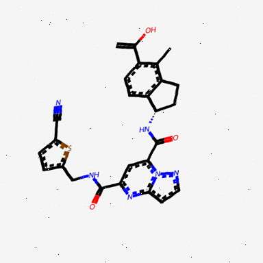 C=C(O)c1ccc2c(c1C)CC[C@@H]2NC(=O)c1cc(C(=O)NCc2ccc(C#N)s2)nc2ccnn12